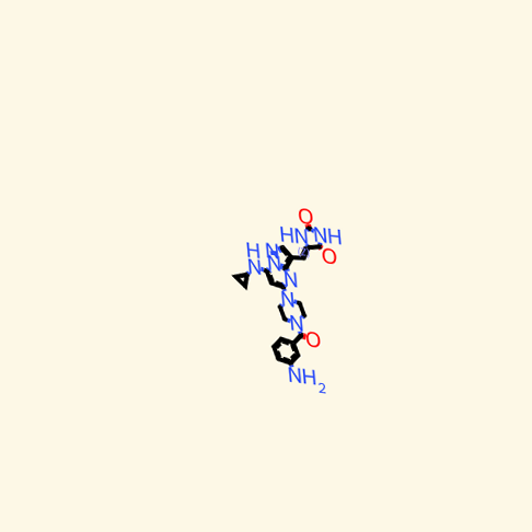 Nc1cccc(C(=O)N2CCN(c3cc(NC4CC4)n4ncc(/C=C5\NC(=O)NC5=O)c4n3)CC2)c1